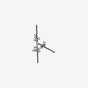 CCCCCCCCCCC(NC)C(=O)NCCN(CCNC(=O)C(CCCCCCCCCC)NC)CCNC(O)C(CCCCCCCCCC)NC